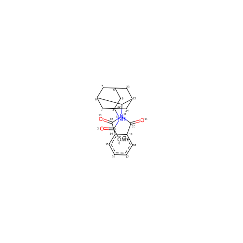 COC(=O)NC12CC3CC(C1)C(N1C(=O)c4ccccc4C1=O)C(C3)C2